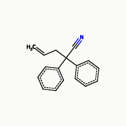 C=CCC(C#N)(c1ccccc1)c1ccccc1